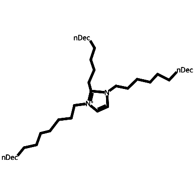 CCCCCCCCCCCCCCCCC[n+]1ccn(CCCCCCCCCCCCCCCC)c1CCCCCCCCCCCCCC